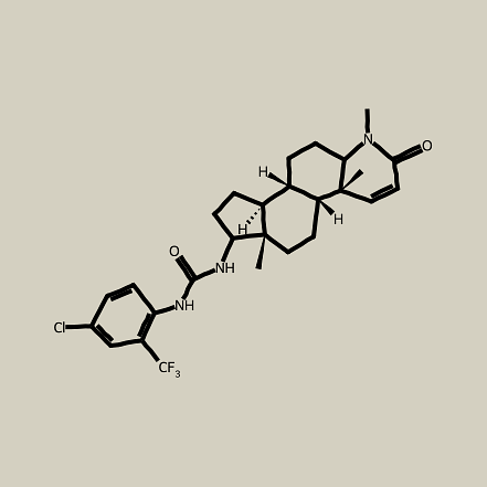 CN1C(=O)C=C[C@@]2(C)C1CC[C@@H]1[C@H]2CC[C@]2(C)C(NC(=O)Nc3ccc(Cl)cc3C(F)(F)F)CC[C@@H]12